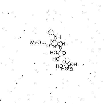 COCCOc1nc(NC2CCCC2)c2cnn([C@@H]3O[C@H](COC(C)(CO)P(=O)(O)O)[C@@H](O)[C@H]3O)c2n1